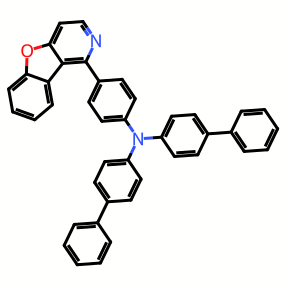 c1ccc(-c2ccc(N(c3ccc(-c4ccccc4)cc3)c3ccc(-c4nccc5oc6ccccc6c45)cc3)cc2)cc1